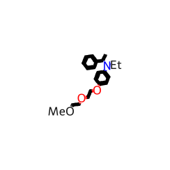 CCN(c1ccc(OCCOCCOC)cc1)C(C)c1ccccc1